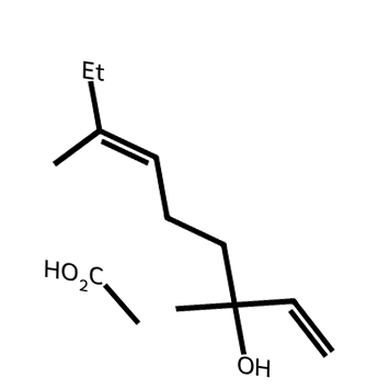 C=CC(C)(O)CCC=C(C)CC.CC(=O)O